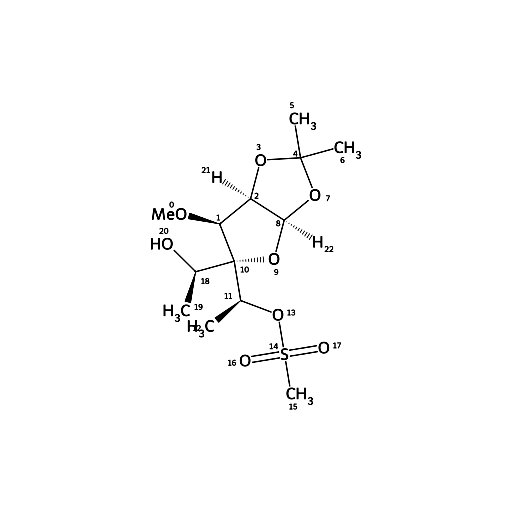 CO[C@H]1[C@H]2OC(C)(C)O[C@H]2O[C@]1([C@H](C)OS(C)(=O)=O)[C@@H](C)O